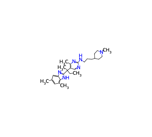 CCC(C)(c1nc2cc(C)cc(C)c2[nH]1)c1cnc(NCCCC2CCN(C)CC2)nc1C